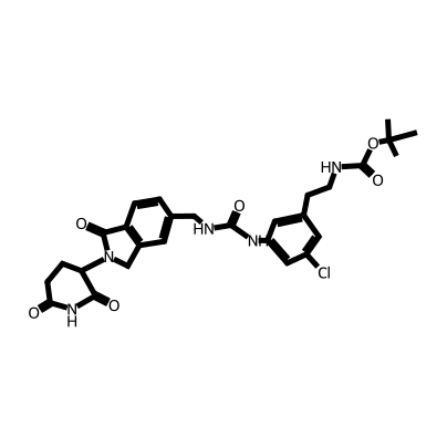 CC(C)(C)OC(=O)NCCc1cc(Cl)cc(NC(=O)NCc2ccc3c(c2)CN(C2CCC(=O)NC2=O)C3=O)c1